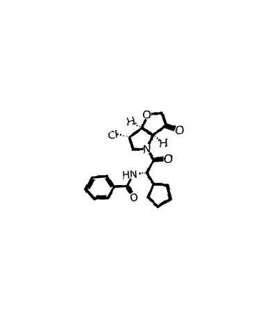 O=C(N[C@H](C(=O)N1C[C@H](Cl)[C@H]2OCC(=O)[C@H]21)C1CCCC1)c1ccccc1